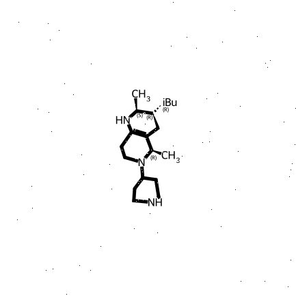 CC[C@@H](C)[C@H]1CC2=C(CCN(C3CCNCC3)[C@@H]2C)N[C@H]1C